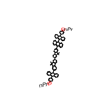 CCCOc1ccc(-c2c3ccccc3c(-c3ccc4c(c3)C(C)(C)c3cc(-c5ccc6c(c5)C(C)(C)c5cc(-c7c8ccccc8c(-c8c9ccccc9c(-c9ccc(OCCC)cc9)c9ccccc89)c8ccccc78)ccc5-6)ccc3-4)c3ccccc23)cc1